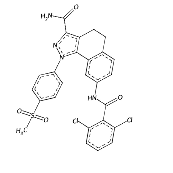 CS(=O)(=O)c1ccc(-n2nc(C(N)=O)c3c2-c2cc(NC(=O)c4c(Cl)cccc4Cl)ccc2CC3)cc1